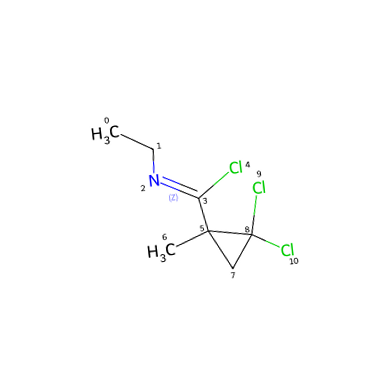 CC/N=C(\Cl)C1(C)CC1(Cl)Cl